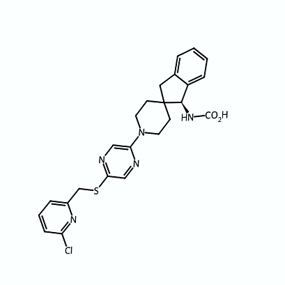 O=C(O)N[C@@H]1c2ccccc2CC12CCN(c1cnc(SCc3cccc(Cl)n3)cn1)CC2